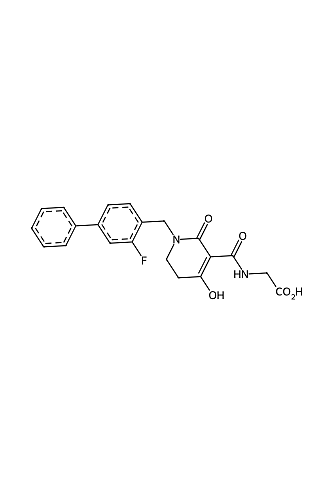 O=C(O)CNC(=O)C1=C(O)CCN(Cc2ccc(-c3ccccc3)cc2F)C1=O